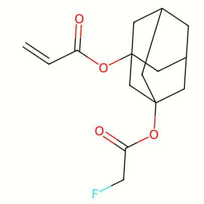 C=CC(=O)OC12CC3CC(C1)CC(OC(=O)CF)(C3)C2